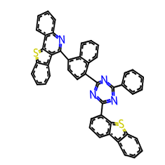 c1ccc(-c2nc(-c3ccc(-c4nc5ccccc5c5sc6ccccc6c45)c4ccccc34)nc(-c3cccc4c3sc3ccccc34)n2)cc1